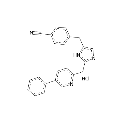 Cl.N#Cc1ccc(Cc2cnc(Cc3ccc(-c4ccccc4)cn3)[nH]2)cc1